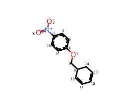 O=[N+]([O-])c1ccc(OCC2C=CC=CC2)cc1